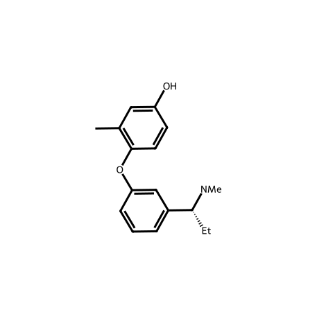 CC[C@@H](NC)c1cccc(Oc2ccc(O)cc2C)c1